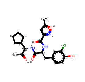 Cc1cc(C(=O)N[C@@H](Cc2ccc(O)c(Cl)c2)C(=O)N[C@H](C(=O)C(C)(C)C)C2CCCC2)no1